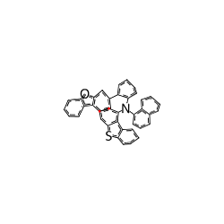 c1ccc(N(c2cccc3ccccc23)c2cccc3sc4ccccc4c23)c(-c2ccc3c(c2)oc2ccccc23)c1